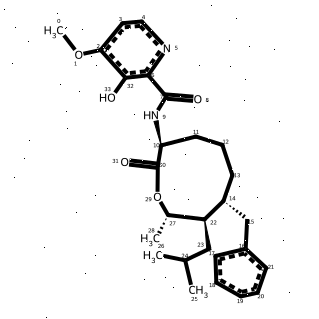 COc1ccnc(C(=O)N[C@H]2CCC[C@H](Cc3ccccc3)[C@@H](CC(C)C)[C@H](C)OC2=O)c1O